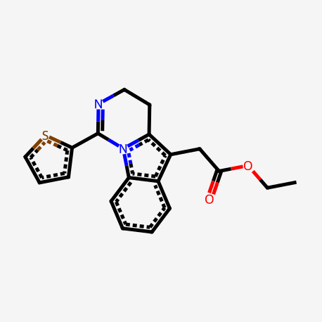 CCOC(=O)Cc1c2n(c3ccccc13)C(c1cccs1)=NCC2